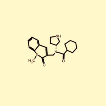 Cn1c(=O)c(CN(C(=O)C2CCCCC2)[C@@H]2CCNC2)cc2ccccc21